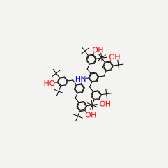 CC(C)(C)c1cc(Cc2ccc(Nc3c(Cc4cc(C(C)(C)C)c(O)c(C(C)(C)C)c4)cc(Cc4cc(C(C)(C)C)c(O)c(C(C)(C)C)c4)cc3Cc3cc(C(C)(C)C)c(O)c(C(C)(C)C)c3)c(Cc3cc(C(C)(C)C)c(O)c(C(C)(C)C)c3)c2)cc(C(C)(C)C)c1O